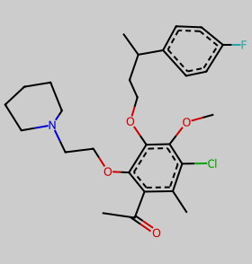 COc1c(Cl)c(C)c(C(C)=O)c(OCCN2CCCCC2)c1OCCC(C)c1ccc(F)cc1